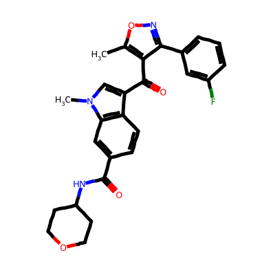 Cc1onc(-c2cccc(F)c2)c1C(=O)c1cn(C)c2cc(C(=O)NC3CCOCC3)ccc12